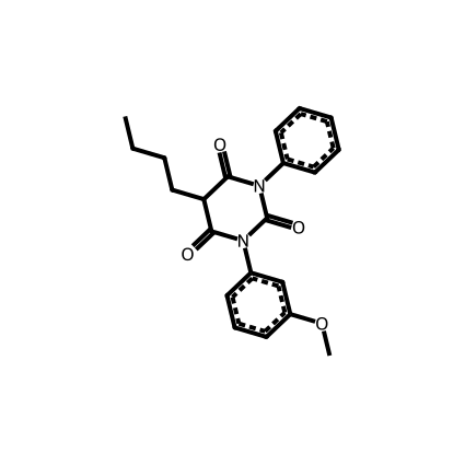 CCCCC1C(=O)N(c2ccccc2)C(=O)N(c2cccc(OC)c2)C1=O